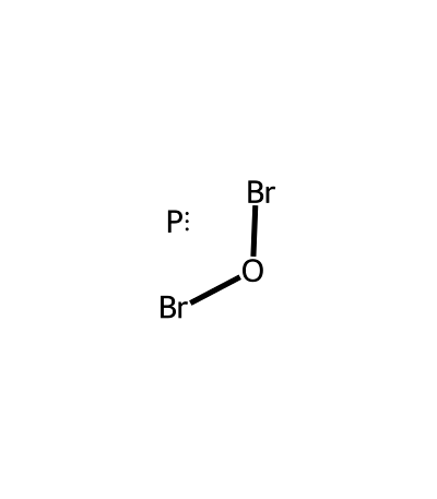 BrOBr.[P]